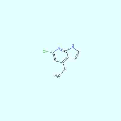 CCc1cc(Cl)nc2[nH]ccc12